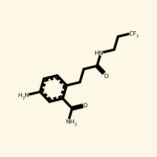 NC(=O)c1cc(N)ccc1CCC(=O)NCCC(F)(F)F